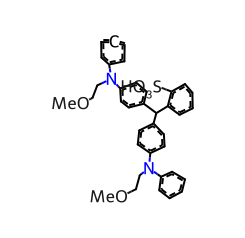 COCCN(c1ccccc1)c1ccc(C(c2ccc(N(CCOC)c3ccccc3)cc2)c2ccccc2S(=O)(=O)O)cc1